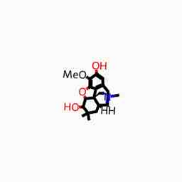 COc1c(O)cc2c3c1OC1C(O)C(C)(C)C[C@H]4[C@@H](C2)N(C)CC[C@]314